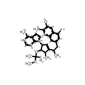 COC(C)(C)OC1C(C)C(C(C)Cc2cc(F)c3cc(Cl)c(N)nc3c2)=CC1n1ccc2c(C)ncnc21